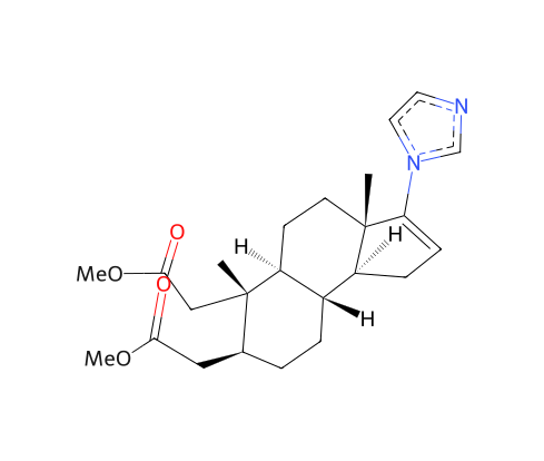 COC(=O)C[C@@H]1CC[C@@H]2[C@H](CC[C@]3(C)C(n4ccnc4)=CC[C@@H]23)[C@@]1(C)CC(=O)OC